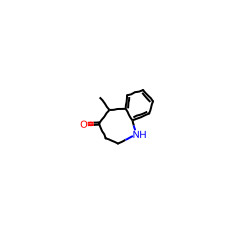 CC1C(=O)CCNc2ccccc21